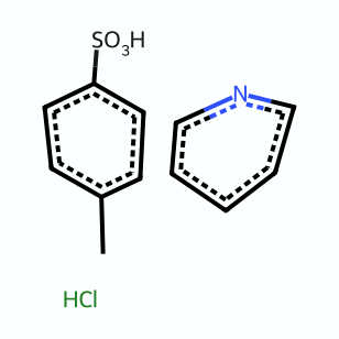 Cc1ccc(S(=O)(=O)O)cc1.Cl.c1ccncc1